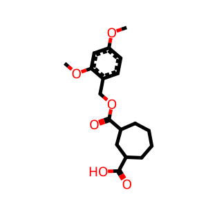 COc1ccc(COC(=O)C2CCCCC(C(=O)O)C2)c(OC)c1